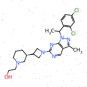 Cc1nn(C(C)c2ccc(Cl)cc2Cl)c2nc(N3CC([C@@H]4CCCN(CCO)C4)C3)ncc12